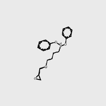 c1ccc(O[SiH](CCCCOCC2CO2)Oc2ccccc2)cc1